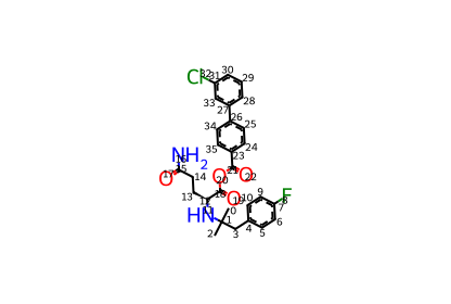 CC(C)(Cc1ccc(F)cc1)N[C@@H](CCC(N)=O)C(=O)OC(=O)c1ccc(-c2cccc(Cl)c2)cc1